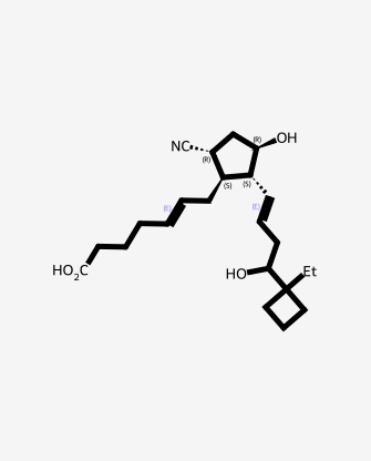 CCC1(C(O)C/C=C/[C@@H]2[C@@H](C/C=C/CCCC(=O)O)[C@H](C#N)C[C@H]2O)CCC1